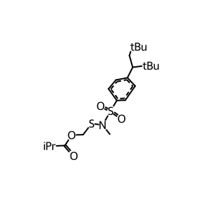 CC(C)C(=O)OCSN(C)S(=O)(=O)c1ccc(C(CC(C)(C)C)C(C)(C)C)cc1